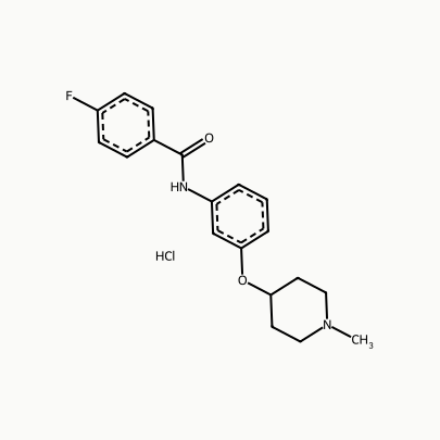 CN1CCC(Oc2cccc(NC(=O)c3ccc(F)cc3)c2)CC1.Cl